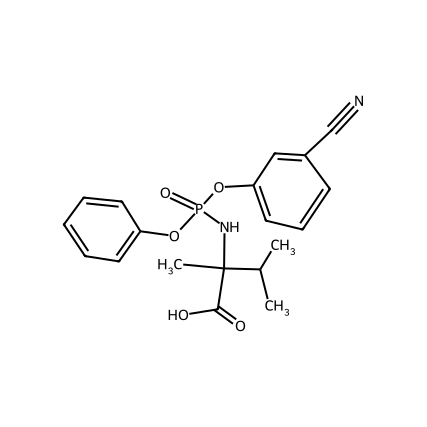 CC(C)C(C)(NP(=O)(Oc1ccccc1)Oc1cccc(C#N)c1)C(=O)O